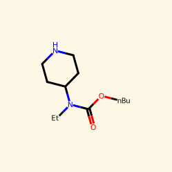 CCCCOC(=O)N(CC)C1CCNCC1